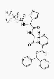 CC(C)(C)OC(=O)NC(C(=O)N[C@@H]1C(=O)N2C(C(=O)OC(c3ccccc3)c3ccccc3)=CCS[C@@H]12)c1cnsc1